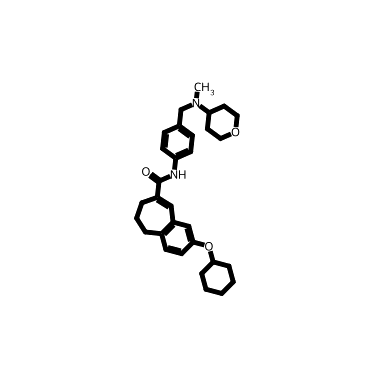 CN(Cc1ccc(NC(=O)C2=Cc3cc(OC4CCCCC4)ccc3CCC2)cc1)C1CCOCC1